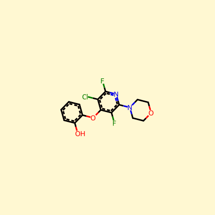 Oc1ccccc1Oc1c(F)c(N2CCOCC2)nc(F)c1Cl